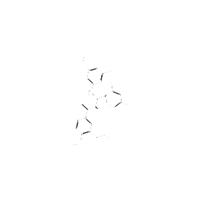 C=C(C(=O)C(Nc1cc(C)cc(OC)c1)C1(C)CC=C(F)C=C1C)c1cc(CCC)c(OC)cc1C